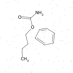 CCCCOC(N)=O.c1ccccc1